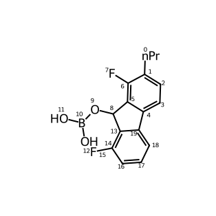 CCCc1ccc2c(c1F)C(OB(O)O)c1c(F)cccc1-2